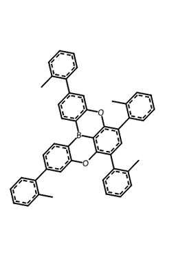 Cc1ccccc1-c1ccc2c(c1)Oc1c(-c3ccccc3C)cc(-c3ccccc3C)c3c1B2c1ccc(-c2ccccc2C)cc1O3